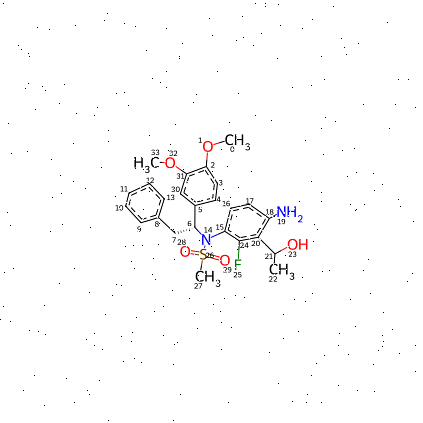 COc1ccc([C@@H](Cc2ccccc2)N(c2ccc(N)c(C(C)O)c2F)S(C)(=O)=O)cc1OC